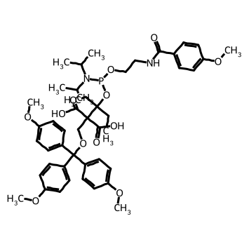 CCC(CC)(OP(OCCNC(=O)c1ccc(OC)cc1)N(C(C)C)C(C)C)C(COC(c1ccc(OC)cc1)(c1ccc(OC)cc1)c1ccc(OC)cc1)(C(=O)O)C(=O)O